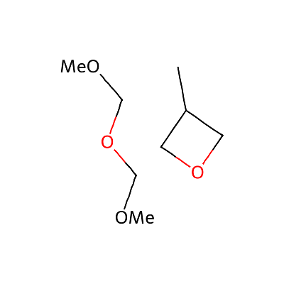 CC1COC1.COCOCOC